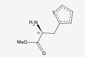 COC(=O)[C@@H](N)Cc1cccs1